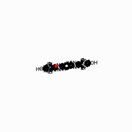 CC(C)c1cc(O)cc(C(C)C)c1N1C(=O)c2cc3nc4cc5c(cc4nc3cc2C1=O)CCc1cc2nc3cc4c(cc3nc2cc1/C=C\5)C(=O)N(c1c(C(C)C)cc(O)cc1C(C)C)C4=O